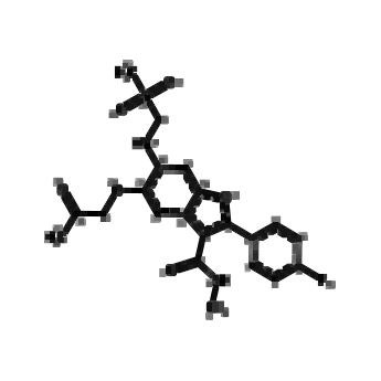 CNC(=O)c1c(-c2ccc(F)cc2)oc2cc(NCS(C)(=O)=O)c(OCC(C)=O)cc12